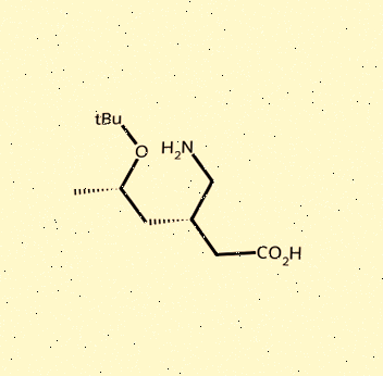 C[C@@H](C[C@H](CN)CC(=O)O)OC(C)(C)C